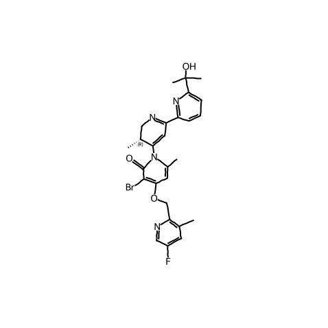 Cc1cc(F)cnc1COc1cc(C)n(C2=CC(c3cccc(C(C)(C)O)n3)=NC[C@H]2C)c(=O)c1Br